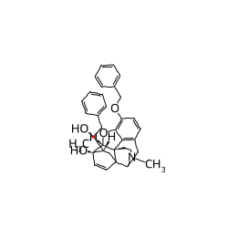 CN1CC[C@]23c4c5ccc(OCc6ccccc6)c4O[C@H]2[C@@]2(O)C=CC3(C[C@H]2[C@@](C)(O)Cc2ccccc2)C1C5